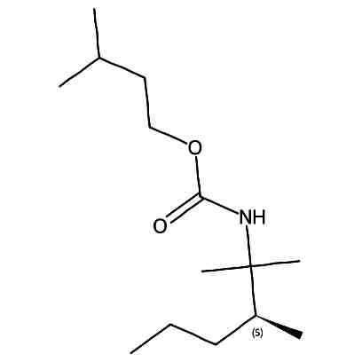 CCC[C@H](C)C(C)(C)NC(=O)OCCC(C)C